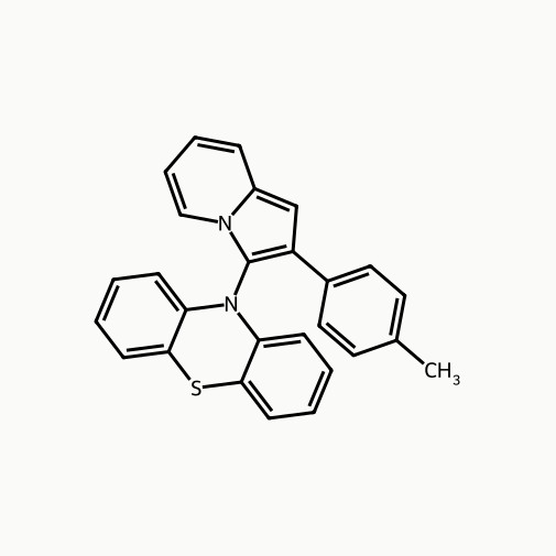 Cc1ccc(-c2cc3ccccn3c2N2c3ccccc3Sc3ccccc32)cc1